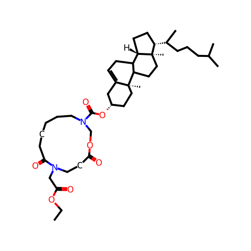 CCOC(=O)CN1CCC(=O)OCN(C(=O)O[C@H]2CC[C@@]3(C)C(=CCC4C3CC[C@]3(C)[C@@H](C(C)CCCC(C)C)CC[C@@H]43)C2)CCCCCC1=O